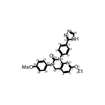 CCOc1ccc2c(n1)N(c1ccc(-c3nnc[nH]3)cc1)C(=O)N(c1ccc(OC)cc1)C2